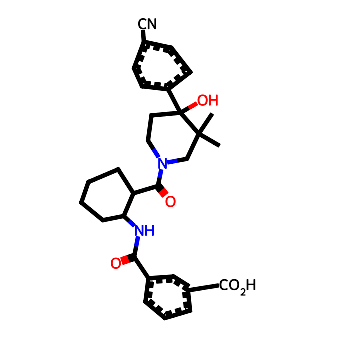 CC1(C)CN(C(=O)C2CCCCC2NC(=O)c2cccc(C(=O)O)c2)CCC1(O)c1ccc(C#N)cc1